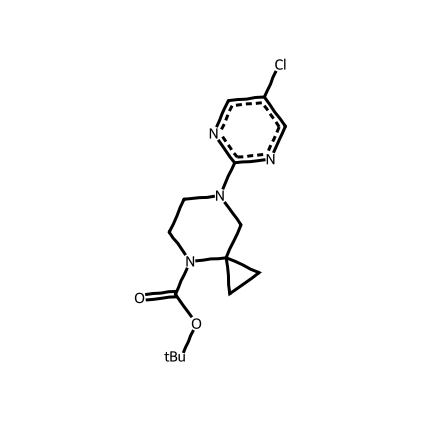 CC(C)(C)OC(=O)N1CCN(c2ncc(Cl)cn2)CC12CC2